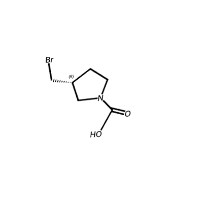 O=C(O)N1CC[C@@H](CBr)C1